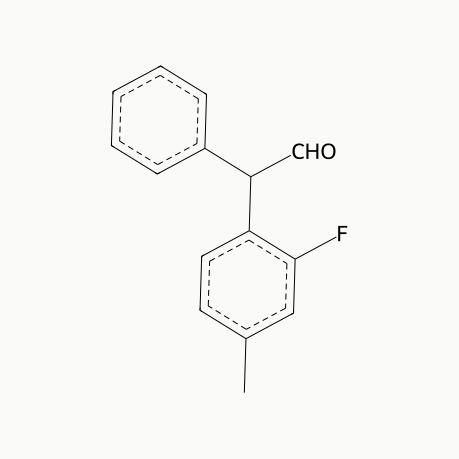 Cc1ccc(C(C=O)c2ccccc2)c(F)c1